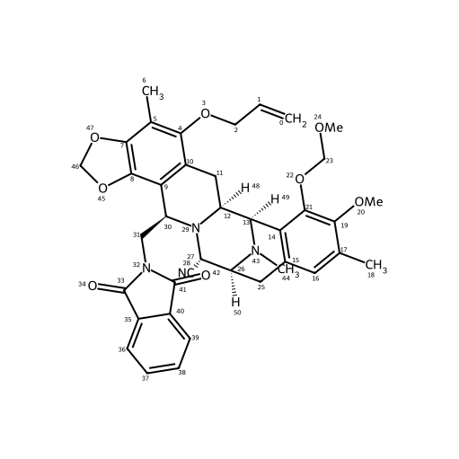 C=CCOc1c(C)c2c(c3c1C[C@H]1[C@H]4c5c(cc(C)c(OC)c5OCOC)C[C@@H]([C@H](C#N)N1[C@H]3CN1C(=O)c3ccccc3C1=O)N4C)OCO2